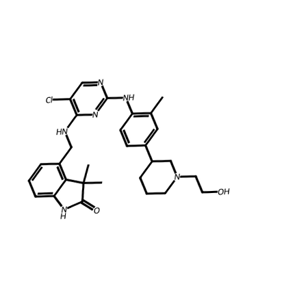 Cc1cc(C2CCCN(CCO)C2)ccc1Nc1ncc(Cl)c(NCc2cccc3c2C(C)(C)C(=O)N3)n1